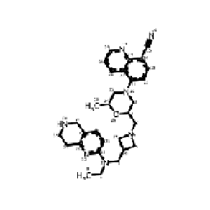 CCN(CC1CN(CC2CN(c3ccc(C#N)c4ncccc34)CC(C)O2)C1)c1ccc2c(n1)CCNC2